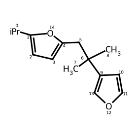 CC(C)c1ccc(CC(C)(C)c2ccoc2)o1